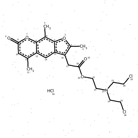 Cc1oc2c(C)c3oc(=O)cc(C)c3cc2c1CC(=O)OCCN(CCCl)CCCl.Cl